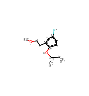 CCOCCc1cc(F)ccc1O[C@@H](CC)CC(F)(F)F